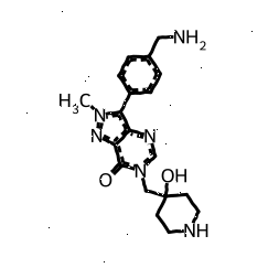 Cn1nc2c(=O)n(CC3(O)CCNCC3)cnc2c1-c1ccc(CN)cc1